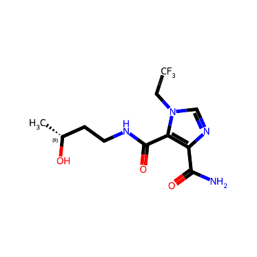 C[C@@H](O)CCNC(=O)c1c(C(N)=O)ncn1CC(F)(F)F